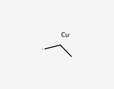 [CH2]CC.[Cu]